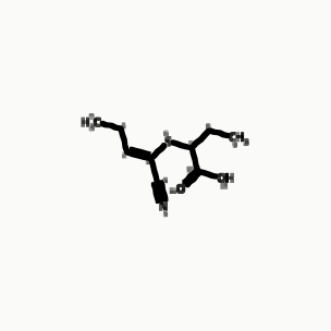 CCC=C(C#N)SC(CC)C(=O)O